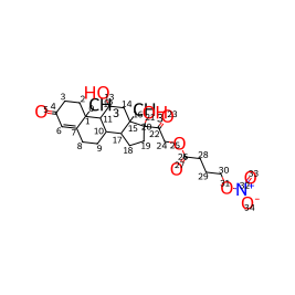 CC12CCC(=O)C=C1CCC1C2C(O)CC2(C)C1CCC2(O)C(=O)COC(=O)CCCO[N+](=O)[O-]